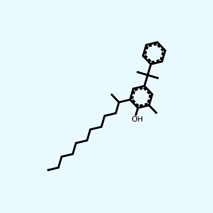 CCCCCCCCCCC(C)c1cc(C(C)(C)c2ccccc2)cc(C)c1O